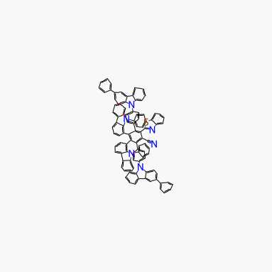 N#Cc1c(-c2ccc(-n3c4ccccc4c4cc(-c5ccccc5)ccc43)cc2)c(-c2cccc3c4ccccc4n(-c4ccccc4)c23)c(-c2cccc3c4ccccc4n(-c4ccccc4)c23)c(-c2ccc(-n3c4ccccc4c4cc(-c5ccccc5)ccc43)cc2)c1-c1nc2ccccc2s1